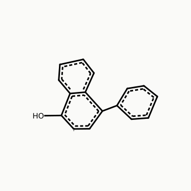 Oc1[c]cc(-c2ccccc2)c2ccccc12